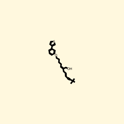 CC(C)(C)C#CC=CCC(=CCCCCOc1cccc(-c2ccsc2)c1)CO